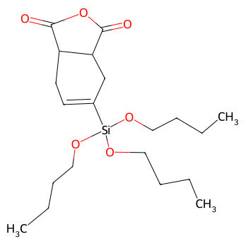 CCCCO[Si](OCCCC)(OCCCC)C1=CCC2C(=O)OC(=O)C2C1